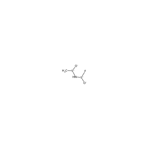 C[S+]([O-])N[S+]([O-])F